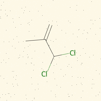 C=C(C)C(Cl)Cl